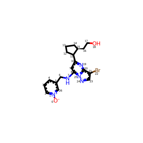 [O-][n+]1cccc(CNc2cc(C3CCC[C@H]3CCO)nc3c(Br)cnn23)c1